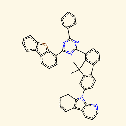 CC1(C)c2cc(-n3c4c(c5cccnc53)C=CCC4)ccc2-c2cccc(-c3nc(-c4ccccc4)nc(-c4cccc5c4sc4ccccc45)n3)c21